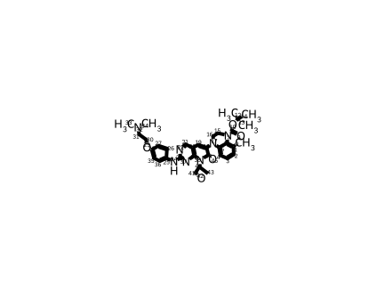 Cc1cccc2c1N(C(=O)OC(C)(C)C)CCN2c1cc2cnc(Nc3ccc(OCCN(C)C)cc3)nc2n(C2COC2)c1=O